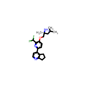 CC(C)C[C@](C)(N)COc1ccc(-c2ccnc3c2CCC3)nc1C(F)F